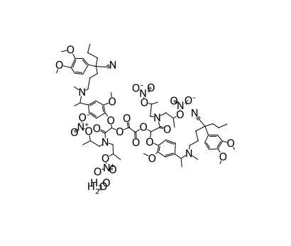 CCCC(C#N)(CCCN(C)C(C)c1ccc(OC(OC(=O)C(=O)OC(Oc2ccc(C(C)N(C)CCCC(C#N)(CCC)c3ccc(OC)c(OC)c3)cc2OC)C(=O)N(CC(C)O[N+](=O)[O-])CC(C)O[N+](=O)[O-])C(=O)N(CC(C)O[N+](=O)[O-])CC(C)O[N+](=O)[O-])c(OC)c1)c1ccc(OC)c(OC)c1.O.O